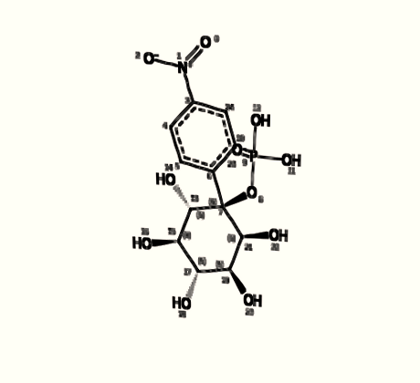 O=[N+]([O-])c1ccc([C@@]2(OP(=O)(O)O)[C@@H](O)[C@H](O)[C@@H](O)[C@H](O)[C@@H]2O)cc1